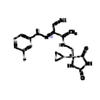 C=C(NC[C@@]1(C2CC2)NC(=O)NC1=O)/C(C=N)=N/Nc1cccc(F)c1